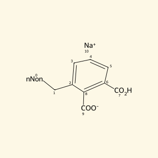 CCCCCCCCCCc1cccc(C(=O)O)c1C(=O)[O-].[Na+]